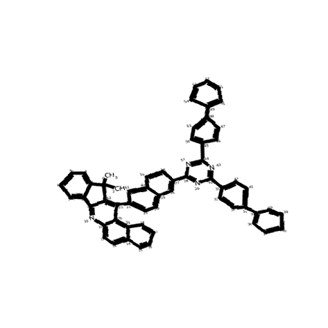 CC1(C)c2ccccc2-c2nc3ccc4ccccc4c3c(-c3ccc4cc(-c5nc(-c6ccc(-c7ccccc7)cc6)nc(-c6ccc(-c7ccccc7)cc6)n5)ccc4c3)c21